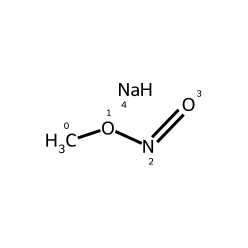 CON=O.[NaH]